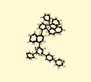 c1ccc(-c2nc(-c3ccc(-c4cccnc4)cc3)cc(-c3ccc(-c4cccc5c4-c4ccc6ccccc6c4C5(c4ccccc4)c4ccccc4)c4ccccc34)n2)cc1